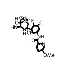 COc1ccc(C(=O)Nc2cc(Cl)c(F)c([C@]3(C)CS(=O)(=O)C(C)(C)C(=N)N3)c2)nc1